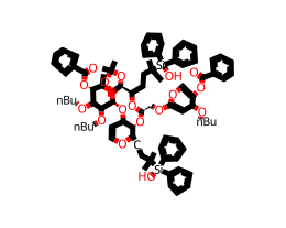 CCCCOC1C=C(OC[C@@H](OC(CCC(C)(C)[Si](O)(c2ccccc2)c2ccccc2)[C@H]2COC(C)(C)O2)O[C@H]2C(O[C@@H]3OC(C)[C@@H](OC(=O)c4ccccc4)C(OCCCC)C3OCCCC)C=COC2CCC(C)(C)[Si](O)(c2ccccc2)c2ccccc2)OC=C1OC(=O)c1ccccc1